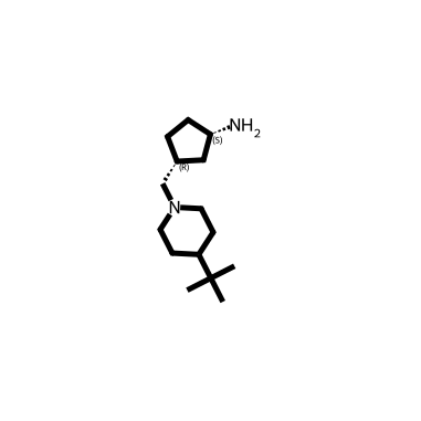 CC(C)(C)C1CCN(C[C@@H]2CC[C@H](N)C2)CC1